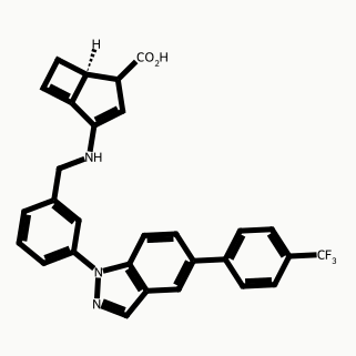 O=C(O)C1C=C(NCc2cccc(-n3ncc4cc(-c5ccc(C(F)(F)F)cc5)ccc43)c2)C2=CC[C@H]21